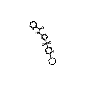 O=C(Nc1ccn(S(=O)(=O)c2ccc(N3CCCCC3)nc2)c1)c1ccccn1